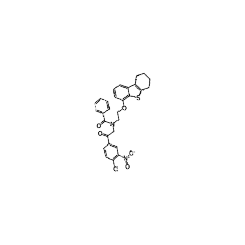 O=C(CN(CCOc1cccc2c3c(sc12)CCCC3)C(=O)c1ccccc1)c1ccc(Cl)c([N+](=O)[O-])c1